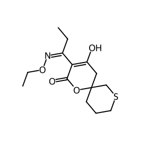 CCO/N=C(/CC)C1=C(O)CC2(CCCSC2)OC1=O